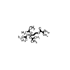 C=C(C)C(=O)OCC[Si](OC(C)C)(OC(C)C)OC(C)C